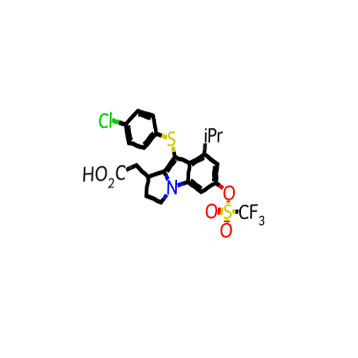 CC(C)c1cc(OS(=O)(=O)C(F)(F)F)cc2c1c(Sc1ccc(Cl)cc1)c1n2CCC1CC(=O)O